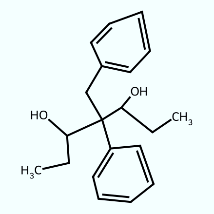 CCC(O)C(Cc1ccccc1)(c1ccccc1)C(O)CC